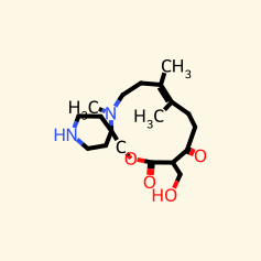 C/C1=C(/C)CCN(C)C2(CCNCC2)COC(=O)C(CO)C(=O)CC1